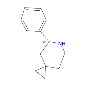 c1ccc([C@H]2CC3(CCN2)CC3)cc1